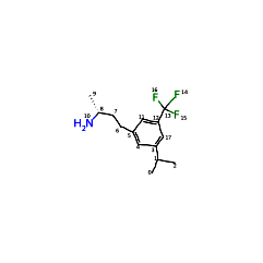 CC(C)c1cc(CC[C@@H](C)N)cc(C(F)(F)F)c1